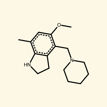 COc1cc(C)c2c(c1CN1CCCCC1)CCN2